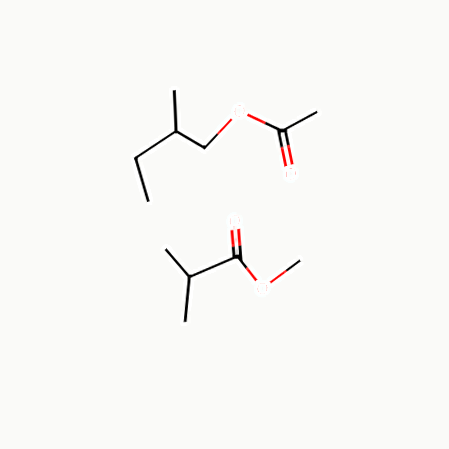 CCC(C)COC(C)=O.COC(=O)C(C)C